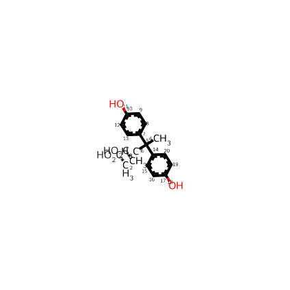 CC(=O)O.CC(=O)O.CC(C)(c1ccc(O)cc1)c1ccc(O)cc1